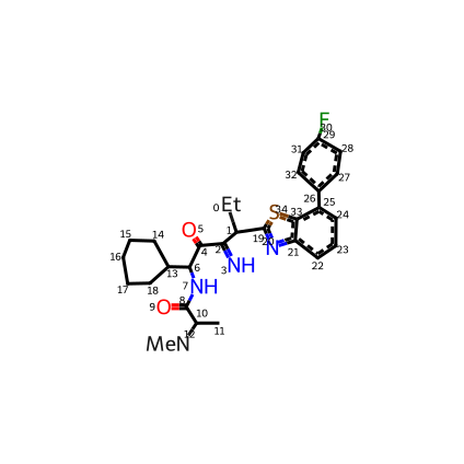 CCC(C(=N)C(=O)C(NC(=O)C(C)NC)C1CCCCC1)c1nc2cccc(-c3ccc(F)cc3)c2s1